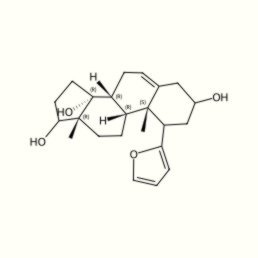 C[C@]12C(=CC[C@@H]3[C@H]1CC[C@]1(C)C(O)CC[C@@]31O)CC(O)CC2c1ccco1